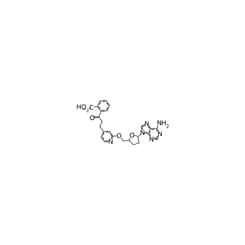 Nc1ncnc2c1ncn2C1CCC(COc2cc(CCC(=O)c3ccccc3C(=O)O)ccn2)O1